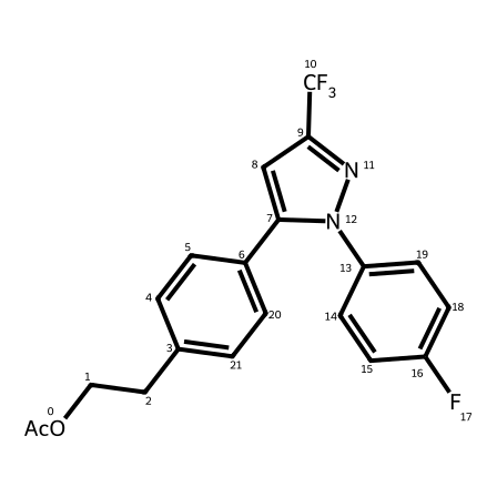 CC(=O)OCCc1ccc(-c2cc(C(F)(F)F)nn2-c2ccc(F)cc2)cc1